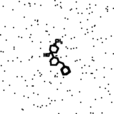 CN1CCC(O)(C2CCCC(Cc3ccccc3)C2)CC1